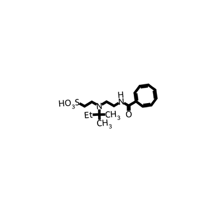 CCC(C)(C)N(CCNC(=O)C1=C/C=C\C=C/C=C\1)CCS(=O)(=O)O